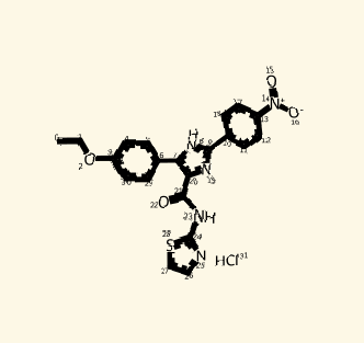 CCOc1ccc(-c2[nH]c(-c3ccc([N+](=O)[O-])cc3)nc2C(=O)Nc2nccs2)cc1.Cl